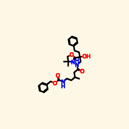 CC(CCNC(=O)OCc1ccccc1)CC(=O)NCC(O)(CCc1ccccc1)C1=NC(C)(C)CO1